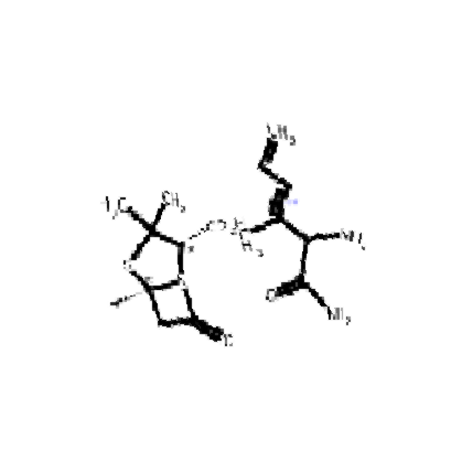 C=C/C=C(\C)C(N)C(N)=O.CC1(C)S[C@@H]2CC(=O)N2[C@H]1C(=O)O